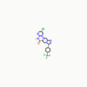 CN(C(=O)c1cn2c(-c3ccc(C(F)(F)F)cc3)cnc2cn1)c1ncc(Br)cn1